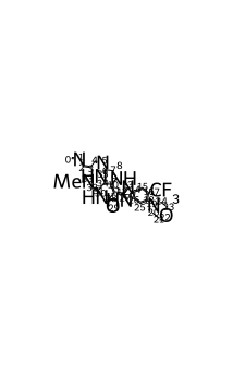 C=N/C=C\C=N/C[C@H](C)NC1=C(c2nc3cc(C(F)(F)F)c(N4CCOCC4)cc3[nH]2)C(=O)N/C(=C/NC)C1=N